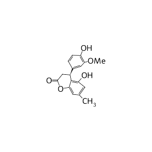 COc1cc([C@@H]2CC(=O)Oc3cc(C)cc(O)c32)ccc1O